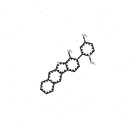 Cc1cc[n+](C)c(-c2ccc3c(oc4cc5ccccc5cc43)c2C)c1